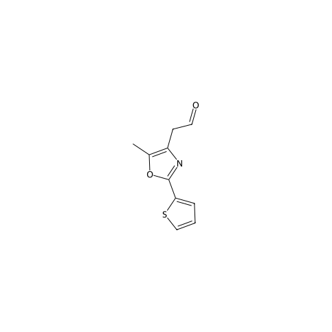 Cc1oc(-c2cccs2)nc1CC=O